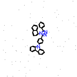 c1ccc(-c2nnc(-c3ccc(-n4c5ccccc5c5ccccc54)cc3)n2-c2cccc3ccccc23)cc1